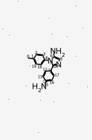 Cc1ccc(-n2c(N)cnc2-c2ccc(N)cc2)cc1